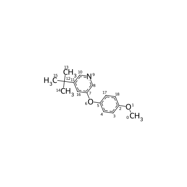 COc1ccc(Oc2cncc(C(C)(C)C)c2)cc1